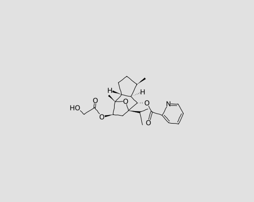 CC(C)[C@@]12C[C@@H](OC(=O)CO)[C@@](C)(O1)[C@@H]1CC[C@@H](C)[C@H]1[C@@H]2OC(=O)c1ccccn1